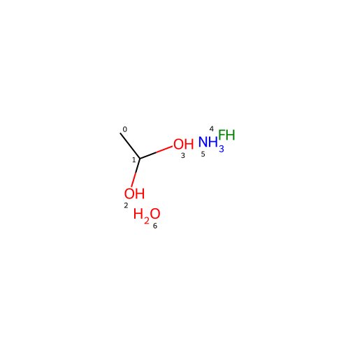 CC(O)O.F.N.O